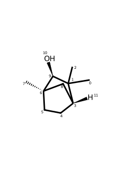 CC1(C)[C@@H]2CC[C@](C)(C2)[C@H]1O